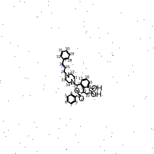 O=S(=O)(c1ccccc1)C1CS(O)(O)c2cccc(CN3CCN(C/C=C/c4ccccc4)CC3)c21